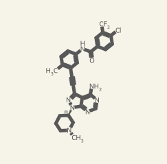 Cc1ccc(NC(=O)c2ccc(Cl)c(C(F)(F)F)c2)cc1C#Cc1nn([C@@H]2CCCN(C)C2)c2ncnc(N)c12